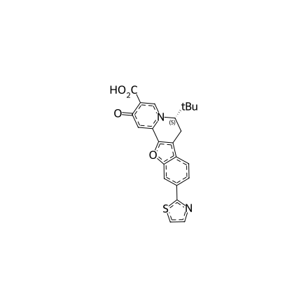 CC(C)(C)[C@@H]1Cc2c(oc3cc(-c4nccs4)ccc23)-c2cc(=O)c(C(=O)O)cn21